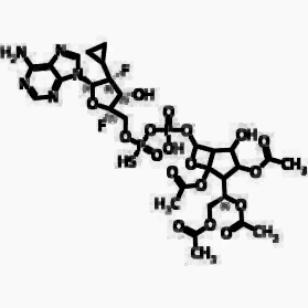 CC(=O)OC[C@H](OC(C)=O)C1C(OC(C)=O)C(O)C2C(OP(=O)(O)OP(=O)(S)OC[C@@]3(F)O[C@@H](n4cnc5c(N)ncnc54)[C@@](F)(C4CC4)[C@@H]3O)OC21OC(C)=O